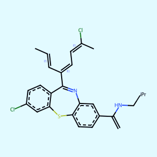 C=C(NCC(C)C)c1ccc2c(c1)N=C(C(/C=C/C)=C/C=C(\C)Cl)c1ccc(Cl)cc1S2